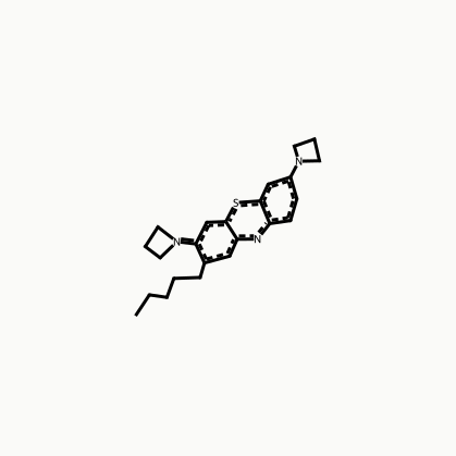 CCCCCc1cc2nc3ccc(N4CCC4)cc3sc-2cc1=[N+]1CCC1